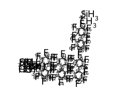 CC[SiH3].CC[SiH3].CC[SiH3].Fc1c(F)c(F)c(-c2c(F)c(F)c(F)c(F)c2F)c(F)c1F.Fc1c(F)c(F)c(-c2c(F)c(F)c(F)c(F)c2F)c(F)c1F.Fc1c(F)c(F)c(-c2c(F)c(F)c(F)c(F)c2F)c(F)c1F.Fc1c(F)c(F)c(-c2c(F)c(F)c(F)c(F)c2F)c(F)c1F.OB(O)O